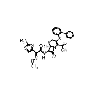 CON=C(C(=O)N[C@@H]1C(=O)N2C(C(=O)O)=C(Sc3ccccc3-c3ccccc3)CS[C@@H]12)c1csc(N)n1